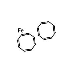 C1=CC=CC=CC=C1.C1=CC=CC=CC=C1.[Fe]